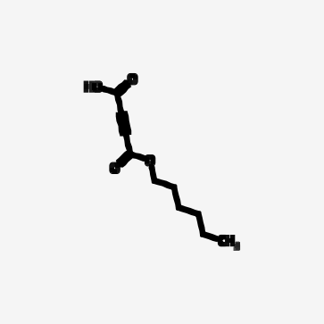 CCCCCCOC(=O)C#CC(=O)O